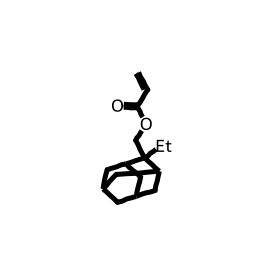 C=CC(=O)OCC1(CC)C2CC3CC(C2)CC1C3